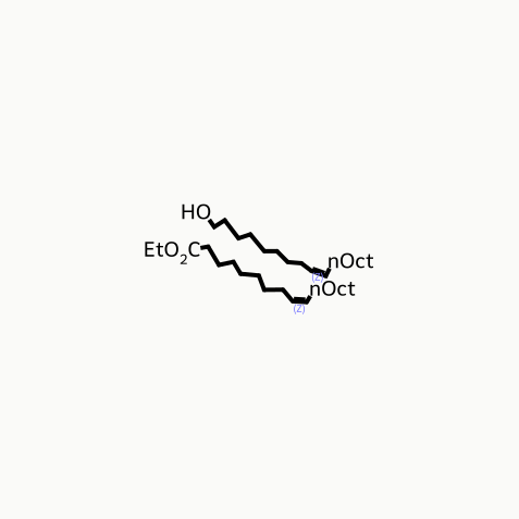 CCCCCCCC/C=C\CCCCCCCC(=O)OCC.CCCCCCCC/C=C\CCCCCCCCO